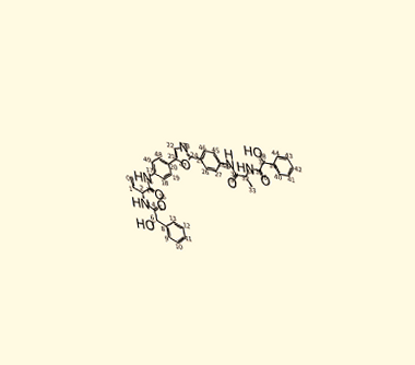 C=C[C@H](NC(=O)[C@@H](O)c1ccccc1)C(=O)Nc1ccc(-c2cnc(-c3ccc(NC(=O)[C@H](C)NC(=O)[C@@H](O)c4ccccc4)cc3)o2)cc1